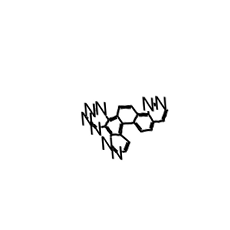 c1cc2ccc3c(ccc4c5nnnnc5c5nnccc5c34)c2nn1